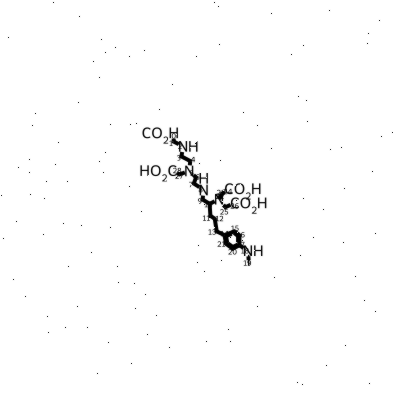 O=C(O)CNCCN(CCNCC(CCCc1ccc(NI)cc1)N(CC(=O)O)CC(=O)O)CC(=O)O